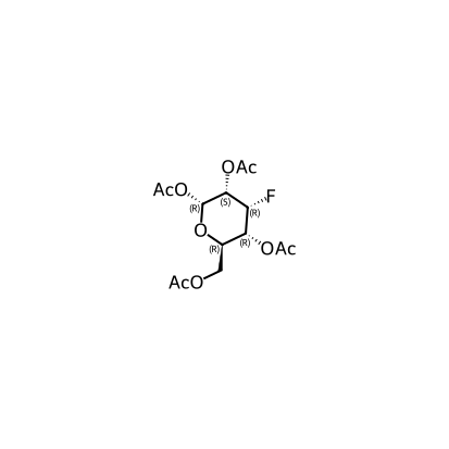 CC(=O)OC[C@H]1O[C@H](OC(C)=O)[C@H](OC(C)=O)[C@H](F)[C@@H]1OC(C)=O